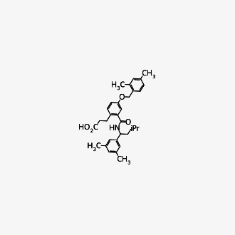 Cc1cc(C)cc(C(CC(C)C)NC(=O)c2cc(OCc3ccc(C)cc3C)ccc2CCC(=O)O)c1